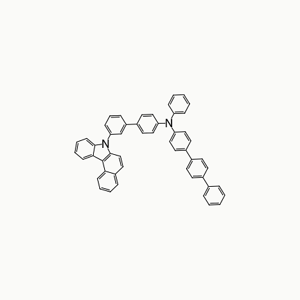 c1ccc(-c2ccc(-c3ccc(N(c4ccccc4)c4ccc(-c5cccc(-n6c7ccccc7c7c8ccccc8ccc76)c5)cc4)cc3)cc2)cc1